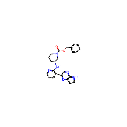 O=C(OCc1ccccc1)N1CCC[C@H](Nc2ncccc2-c2cnc3[nH]ccc3n2)C1